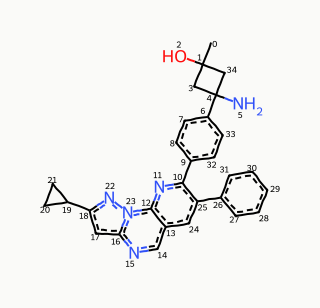 CC1(O)CC(N)(c2ccc(-c3nc4c(cnc5cc(C6CC6)nn54)cc3-c3ccccc3)cc2)C1